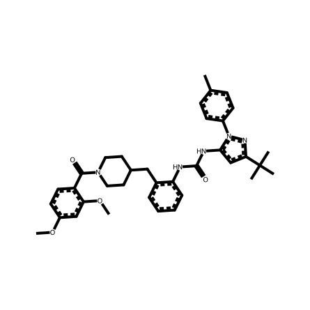 COc1ccc(C(=O)N2CCC(Cc3ccccc3NC(=O)Nc3cc(C(C)(C)C)nn3-c3ccc(C)cc3)CC2)c(OC)c1